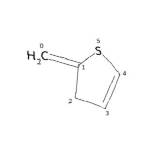 C=C1CC=CS1